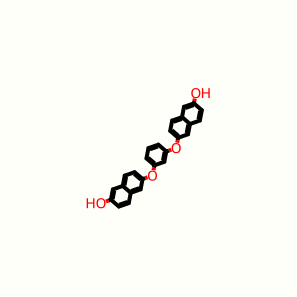 Oc1ccc2cc(Oc3cccc(Oc4ccc5cc(O)ccc5c4)c3)ccc2c1